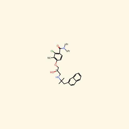 CCCN(CCC)C(=O)c1ccc(OC[C@H](O)CNC(C)(C)Cc2ccc3ccccc3c2)c(C#N)c1Cl